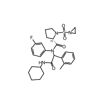 Cc1ccccc1C(C(=O)NC1CCCCC1)N(C(=O)[C@@H]1CCCN1S(=O)(=O)N1CC1)c1cccc(F)c1